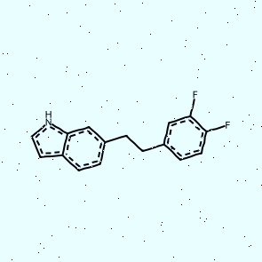 Fc1ccc(CCc2ccc3cc[nH]c3c2)cc1F